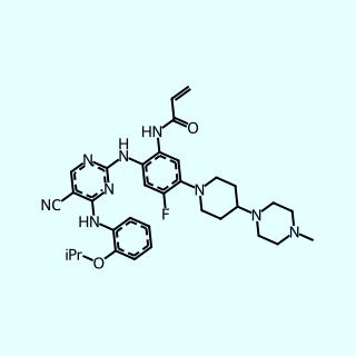 C=CC(=O)Nc1cc(N2CCC(N3CCN(C)CC3)CC2)c(F)cc1Nc1ncc(C#N)c(Nc2ccccc2OC(C)C)n1